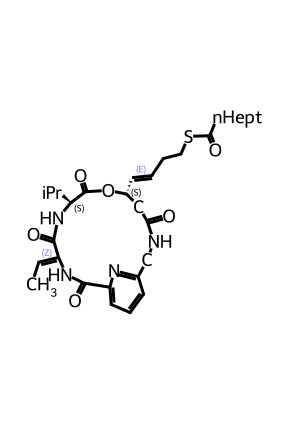 C/C=C1\NC(=O)c2cccc(n2)CNC(=O)C[C@@H](/C=C/CCSC(=O)CCCCCCC)OC(=O)[C@H](C(C)C)NC1=O